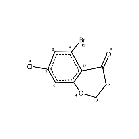 O=C1CCOc2cc(Cl)cc(Br)c21